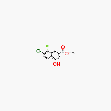 CCOC(=O)c1cc(O)c2ccc(Cl)c(F)c2c1